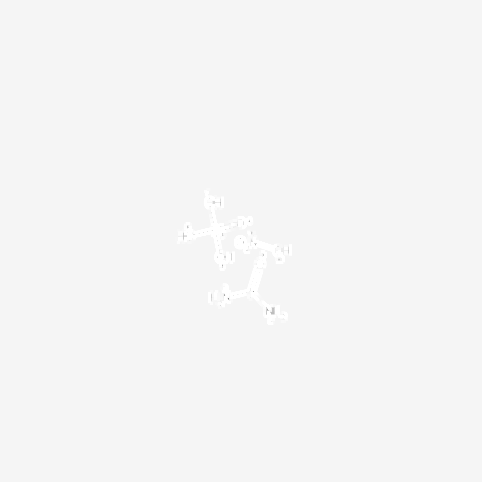 NC(N)=O.O=P(O)(O)O.O=[N+]([O-])O